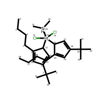 CCCCC1=CC(C(C)(C)C)=C[CH]1[Hf]([Cl])([Cl])([CH]1C=C(C(C)(C)C)C=C1CCCC)[SiH](C)C